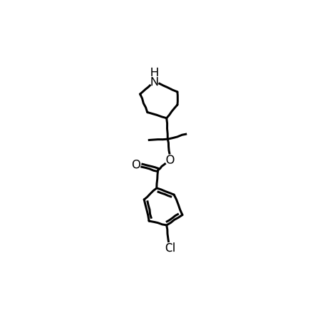 CC(C)(OC(=O)c1ccc(Cl)cc1)C1CCNCC1